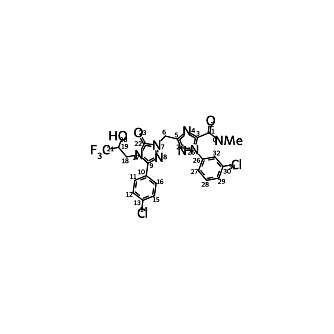 CNC(=O)c1nc(Cn2nc(-c3ccc(Cl)cc3)n(CC(O)C(F)(F)F)c2=O)nn1-c1cccc(Cl)c1